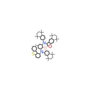 Cc1cc2c3c(c1)N(c1cccc4sc5ccccc5c14)c1cc4c(cc1B3c1oc3cc5c(cc3c1N2c1ccc2c(c1)C(C)(C)CCC2(C)C)C(C)(C)CCC5(C)C)C(C)(C)CCC4(C)C